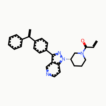 C=CC(=O)N1CCC[C@H](n2nc(-c3ccc(C(=C)c4ccccc4)cc3)c3cnccc32)C1